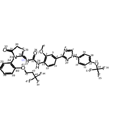 COc1cc(-c2ncn(-c3ccc(OC(F)(F)F)cc3)n2)ccc1NC(=O)/N=C1\SCC(=O)N1c1cc(C)ccc1OCCC(F)(F)F